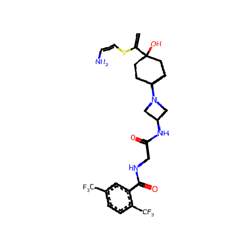 C=C(S/C=C\N)C1(O)CCC(N2CC(NC(=O)CNC(=O)c3cc(C(F)(F)F)ccc3C(F)(F)F)C2)CC1